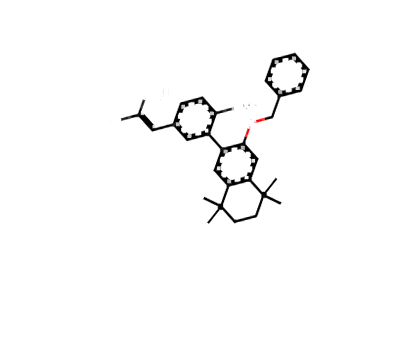 CC/C(=C/c1ccc(OC)c(-c2cc3c(cc2OCc2ccccc2)C(C)(C)CCC3(C)C)c1)C(=O)O